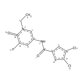 CCn1cc(NC(=O)c2cc(Cl)c(Cl)s2)cc(F)c1=O